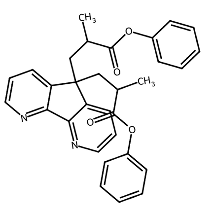 CC(CC1(CC(C)C(=O)Oc2ccccc2)c2cccnc2-c2ncccc21)C(=O)Oc1ccccc1